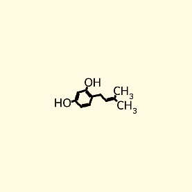 CC(C)=CCc1ccc(O)cc1O